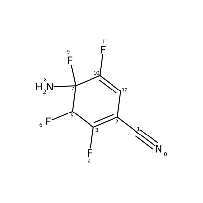 N#CC1=C(F)C(F)C(N)(F)C(F)=C1